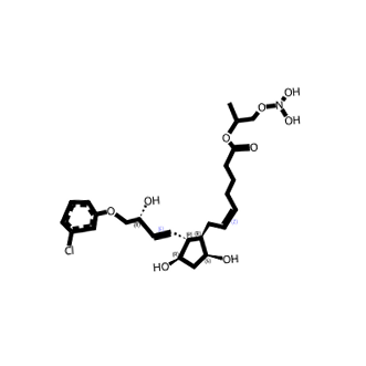 CC(CON(O)O)OC(=O)CCC/C=C\C[C@@H]1[C@@H](/C=C/[C@@H](O)COc2cccc(Cl)c2)[C@H](O)C[C@@H]1O